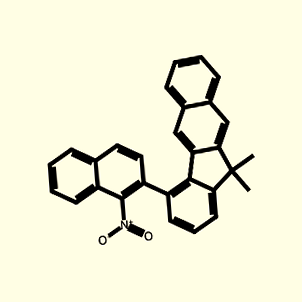 CC1(C)c2cc3ccccc3cc2-c2c(-c3ccc4ccccc4c3[N+](=O)[O-])cccc21